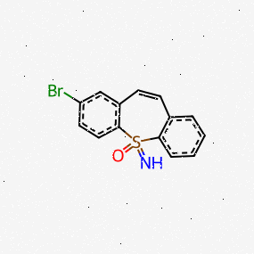 N=S1(=O)c2ccccc2C=Cc2cc(Br)ccc21